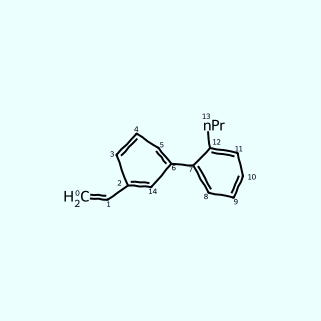 C=Cc1cccc(-c2ccccc2CCC)c1